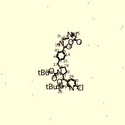 C[C@H](c1nn(C)c(=O)o1)N(C)C(=O)c1ccc(CC2CCC(C(O[Si](C)(C)C(C)(C)C)c3ccc(Cl)nc3)N2C(=O)OC(C)(C)C)cc1